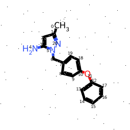 Cc1cc(N)n(Cc2ccc(Oc3ccccc3)cc2)n1